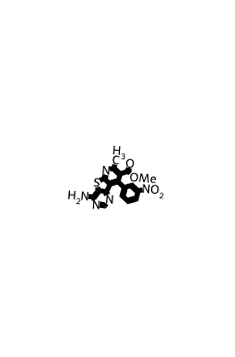 COC(=O)c1c(C)nc2sc3c(N)ncnc3c2c1-c1cccc([N+](=O)[O-])c1